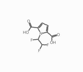 O=C(O)c1ccc(C(=O)O)n1C(F)C(F)F